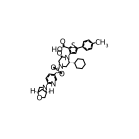 Cc1ccc(-c2cc(N3C(=O)CN(S(=O)(=O)c4ccc(N5C[C@H]6C[C@@H]5CO6)nc4)C[C@H]3C3CCCCC3)c(C(=O)O)s2)cc1